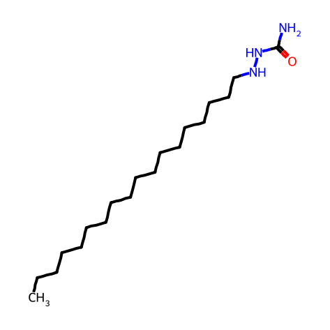 CCCCCCCCCCCCCCCCCCNNC(N)=O